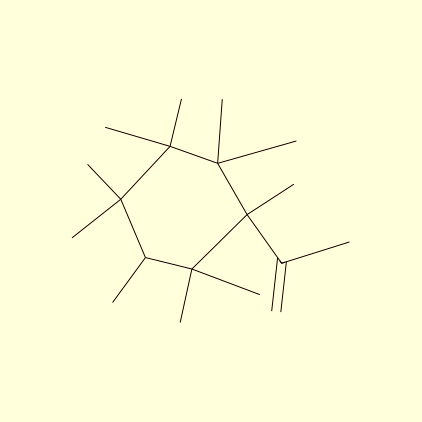 C=C(C)C1(C)C(C)(C)C(C)C(C)(C)C(C)(C)C1(C)C